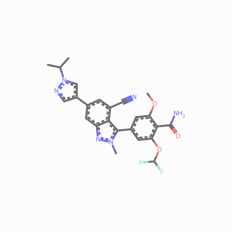 COc1cc(-c2c3c(C#N)cc(-c4cnn(C(C)C)c4)cc3nn2C)cc(OC(F)F)c1C(N)=O